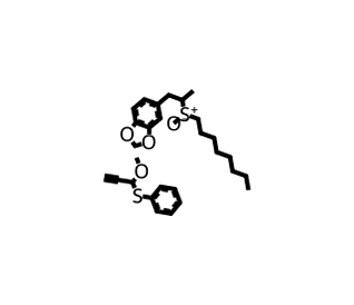 C#CC(OC)Sc1ccccc1.CCCCCCCC[S+]([O-])C(C)Cc1ccc2c(c1)OCO2